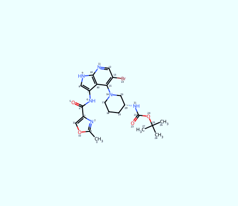 Cc1nc(C(=O)Nc2c[nH]c3ncc(Br)c(N4CCC[C@@H](NC(=O)OC(C)(C)C)C4)c23)co1